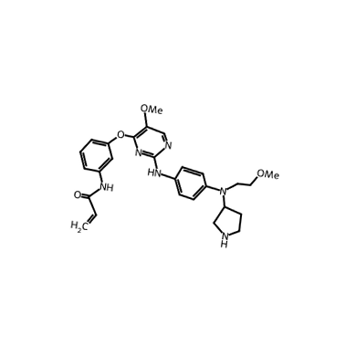 C=CC(=O)Nc1cccc(Oc2nc(Nc3ccc(N(CCOC)C4CCNC4)cc3)ncc2OC)c1